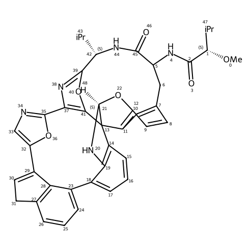 CO[C@H](C(=O)NC1Cc2ccc3c(c2)C24c5cccc(c5N[C@H]2O3)-c2cccc3c2C(=CC3)c2cnc(o2)-c2nc(oc24)[C@H](C(C)C)NC1=O)C(C)C